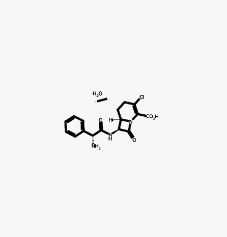 N[C@@H](C(=O)N[C@@H]1C(=O)N2C(C(=O)O)=C(Cl)CC[C@H]12)c1ccccc1.O.[CH2]C